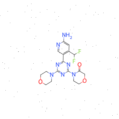 Nc1cc(C(F)F)c(-c2nc(N3CCOCC3)nc(N3CCOCC3=O)n2)cn1